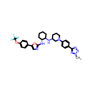 Cn1nnc(-c2ccc(N3CCC[C@H](N[C@@H]4CCCC[C@H]4Nc4ncc(-c5ccc(OC(F)(F)F)cc5)o4)C3)cc2)n1